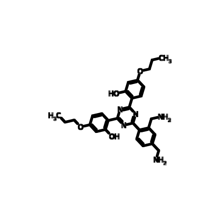 CCCOc1ccc(-c2nc(-c3ccc(OCCC)cc3O)nc(-c3ccc(CN)cc3CN)n2)c(O)c1